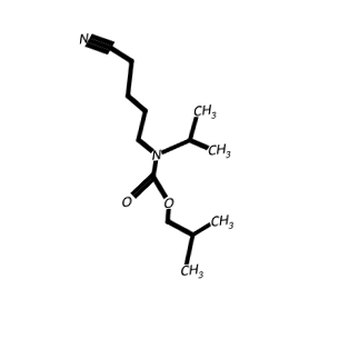 CC(C)COC(=O)N(CCCCC#N)C(C)C